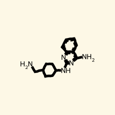 NCC1CCC(Nc2nc(N)c3ccccc3n2)CC1